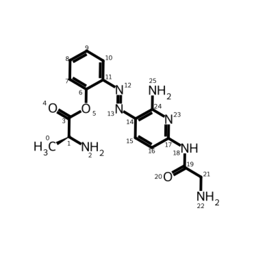 C[C@H](N)C(=O)Oc1ccccc1/N=N/c1ccc(NC(=O)CN)nc1N